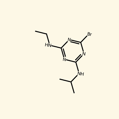 CCNc1nc(Br)nc(NC(C)C)n1